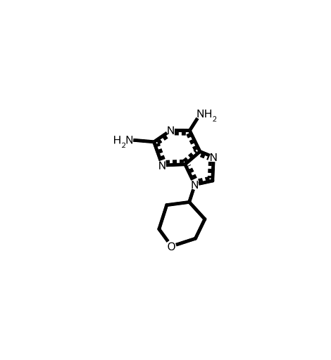 Nc1nc(N)c2ncn(C3CCOCC3)c2n1